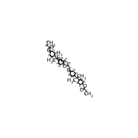 C=CC(=O)Oc1ccc(C(C)(C)c2ccc(OCC(CC)Oc3ccc(C(C)(C)c4ccc(OC(=O)C=C)cc4)cc3)cc2)cc1